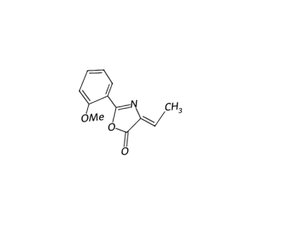 C/C=C1\N=C(c2ccccc2OC)OC1=O